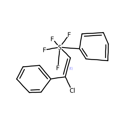 FS(F)(F)(F)(/C=C(/Cl)c1ccccc1)c1ccccc1